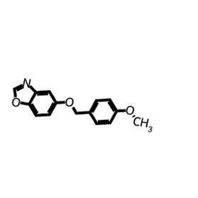 COc1ccc(COc2ccc3ocnc3c2)cc1